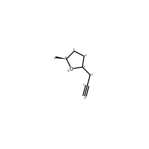 C#CCC1CC[C@H](C)O1